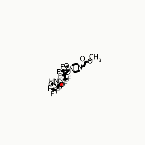 COC(=O)CN1CCN(S(=O)(=O)C(F)(F)C(F)(F)C(F)(F)S(=O)(=O)NS(=O)(=O)C(F)(F)F)CC1